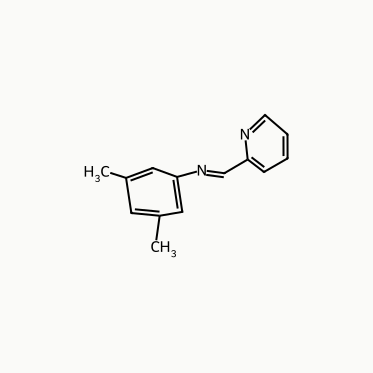 Cc1cc(C)cc(/N=C/c2ccccn2)c1